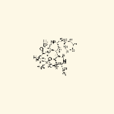 CC(=O)[C@@H](OC(C)(C)C)c1c(C)nc2sc3c(c2c1-c1ccc(C#N)nc1)CCCC3